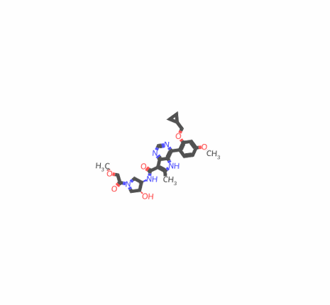 COCC(=O)N1C[C@@H](O)[C@H](NC(=O)c2c(C)[nH]c3c(-c4ccc(OC)cc4OCC4CC4)ncnc23)C1